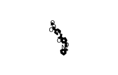 O=COC(=O)C1CCN(Cc2coc3cc(Oc4nc5ccccc5s4)ccc23)CC1